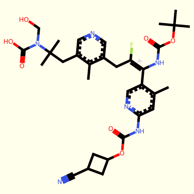 Cc1cc(NC(=O)OC2CC(C#N)C2)ncc1/C(NC(=O)OC(C)(C)C)=C(/F)Cc1cncc(CC(C)(C)N(CO)C(=O)O)c1C